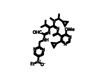 C=C(/N=C(\C(/N=C(\C=O)NCc1ncc([S+]([O-])CC)cn1)=C(C)C)N(C)C(C)C1CC1)c1c(OC)ncnc1C1CC1